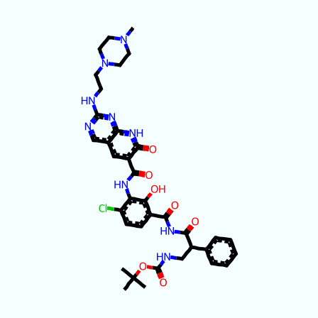 CN1CCN(CCNc2ncc3cc(C(=O)Nc4c(Cl)ccc(C(=O)NC(=O)C(CNC(=O)OC(C)(C)C)c5ccccc5)c4O)c(=O)[nH]c3n2)CC1